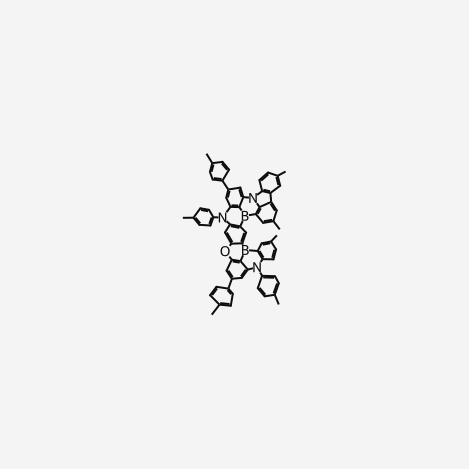 Cc1ccc(-c2cc3c4c(c2)N(c2ccc(C)cc2)c2ccc(C)cc2B4c2cc4c(cc2O3)N(c2ccc(C)cc2)c2cc(-c3ccc(C)cc3)cc3c2B4c2cc(C)cc4c5cc(C)ccc5n-3c24)cc1